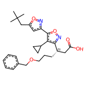 CC(C)(C)Cc1cc(-c2onc([C@@H](CCCOCc3ccccc3)CC(=O)O)c2C2CC2)no1